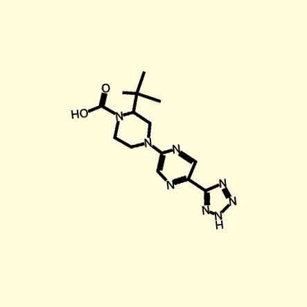 CC(C)(C)C1CN(c2cnc(-c3nn[nH]n3)cn2)CCN1C(=O)O